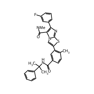 CNC(=O)c1c(-c2cccc(F)c2)nc2sc(-c3cc(C(=O)NC(C)(C)c4ccccc4)ccc3C)cn12